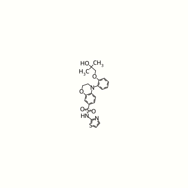 CC(C)(O)COc1ccccc1N1CCOc2cc(S(=O)(=O)Nc3nccs3)ccc21